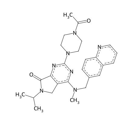 CC(=O)N1CCN(c2nc3c(c(N(C)Cc4ccc5ncccc5c4)n2)CN(C(C)C)C3=O)CC1